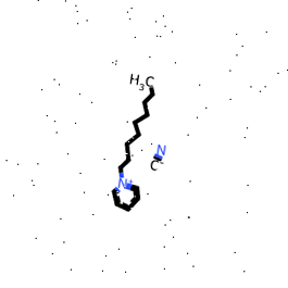 CCCCCCCCC[n+]1ccccc1.[C-]#N